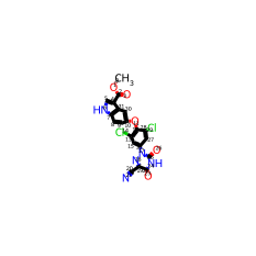 COC(=O)c1c[nH]c2ccc(Oc3c(Cl)cc(-n4nc(C#N)c(=O)[nH]c4=O)cc3Cl)cc12